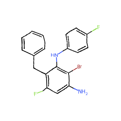 Nc1cc(F)c(Cc2ccccc2)c(Nc2ccc(F)cc2)c1Br